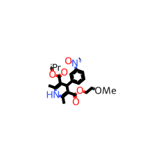 COCCOC(=O)C1=C(C)NC(C)=C(C(=O)OC(C)C)C1c1cccc([N+](C)=O)c1